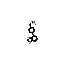 NCc1ccc(-c2cccc3scnc23)cc1